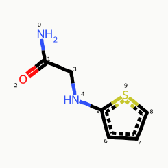 NC(=O)CNc1cccs1